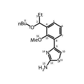 CCCCOC(CC)c1cccc(-c2csc(N)n2)c1OC